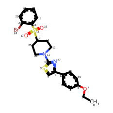 CCOc1ccc(-c2csc(N3CCC(S(=O)(=O)c4ccccc4Br)CC3)n2)cc1